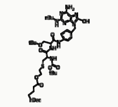 CCCCCCCCCCCCCC(=O)OCCSCC(NC(=O)OC(C)(C)C)C(=O)NC(COC(C)(C)C)C(=O)Nc1ccc(Cn2c(O)nc3c(N)nc(NCCCC)nc32)cc1